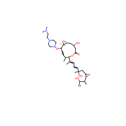 CCC(O)C(C)C1OC1CC(C)(O)/C=C/C=C(\C)C1OC(=O)CC(O)CC[C@](C)(O)C(ON2CCN(CCN(C)C)CC2)/C=C/C1C